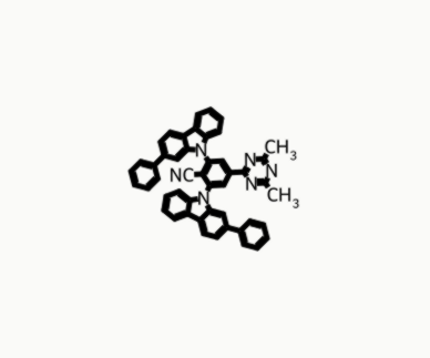 Cc1nc(C)nc(-c2cc(-n3c4ccccc4c4ccc(-c5ccccc5)cc43)c(C#N)c(-n3c4ccccc4c4ccc(-c5ccccc5)cc43)c2)n1